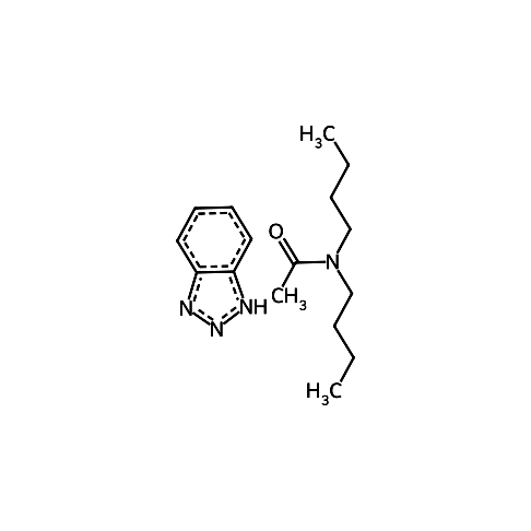 CCCCN(CCCC)C(C)=O.c1ccc2[nH]nnc2c1